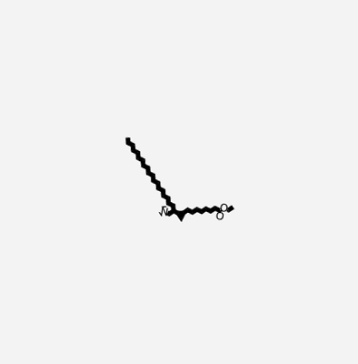 CCCCCCCCCCCCCCCCCCCC(CN(C)C)C1CC1CCCCCCCC(=O)OCC